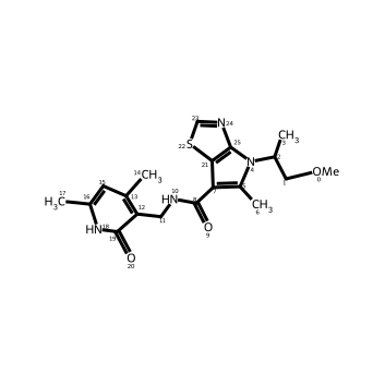 COCC(C)n1c(C)c(C(=O)NCc2c(C)cc(C)[nH]c2=O)c2scnc21